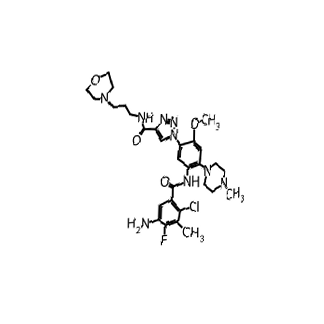 COc1cc(N2CCN(C)CC2)c(NC(=O)c2cc(N)c(F)c(C)c2Cl)cc1-n1cc(C(=O)NCCCN2CCOCC2)nn1